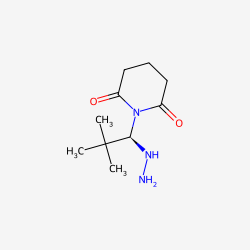 CC(C)(C)[C@H](NN)N1C(=O)CCCC1=O